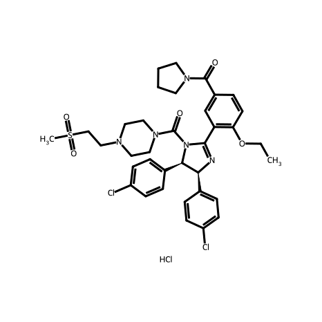 CCOc1ccc(C(=O)N2CCCC2)cc1C1=N[C@@H](c2ccc(Cl)cc2)[C@@H](c2ccc(Cl)cc2)N1C(=O)N1CCN(CCS(C)(=O)=O)CC1.Cl